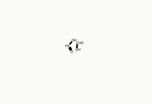 O=[C]O.O=[SH]O